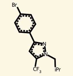 CC(C)Cn1nc(-c2ccc(Br)cc2)cc1C(F)(F)F